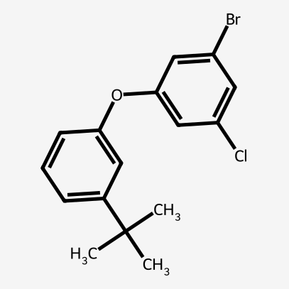 CC(C)(C)c1cccc(Oc2cc(Cl)cc(Br)c2)c1